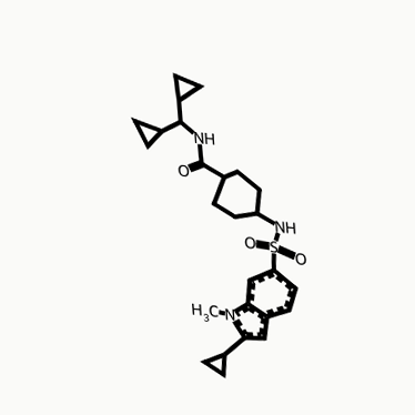 Cn1c(C2CC2)cc2ccc(S(=O)(=O)NC3CCC(C(=O)NC(C4CC4)C4CC4)CC3)cc21